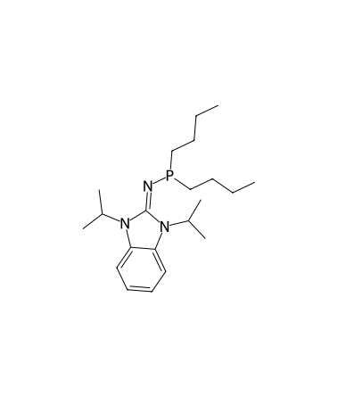 CCCCP(CCCC)N=c1n(C(C)C)c2ccccc2n1C(C)C